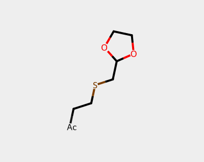 CC(=O)CCSCC1OCCO1